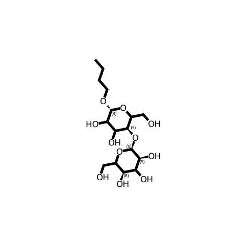 CCCCO[C@@H]1OC(CO)[C@@H](O[C@@H]2OC(CO)[C@H](O)C(O)[C@@H]2O)C(O)C1O